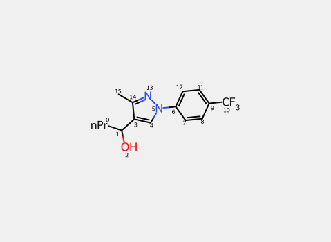 CCCC(O)c1cn(-c2ccc(C(F)(F)F)cc2)nc1C